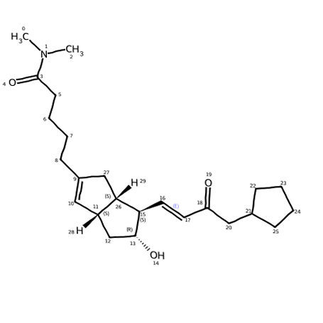 CN(C)C(=O)CCCCC1=C[C@H]2C[C@@H](O)[C@H](/C=C/C(=O)CC3CCCC3)[C@H]2C1